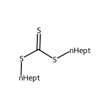 CCCCCCCSC(=S)SCCCCCCC